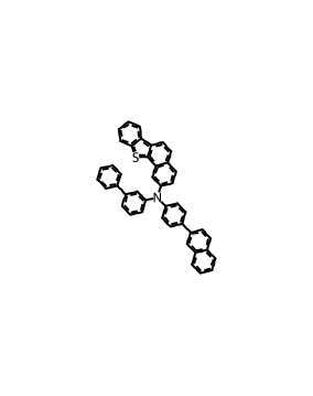 c1ccc(-c2cccc(N(c3ccc(-c4ccc5ccccc5c4)cc3)c3ccc4ccc5c6ccccc6sc5c4c3)c2)cc1